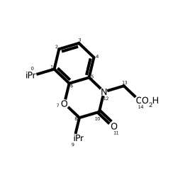 CC(C)c1cccc2c1OC(C(C)C)C(=O)N2CC(=O)O